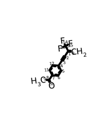 C=C(C#Cc1ccc(C(C)=O)cc1)C(F)(F)F